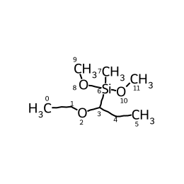 CCOC(CC)[Si](C)(OC)OC